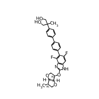 C[C@@H]1CO[C@H]2[C@@H]1OC[C@H]2Oc1nc2c(F)c(-c3ccc(-c4ccc(C(C)(CO)CO)cc4)cc3)c(F)cc2[nH]1